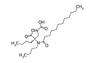 CCCCCCCCCCCC(=O)N(CCCC)[C@@](CCCC)(CCC(=O)O)C(=O)O